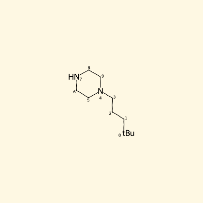 CC(C)(C)CCCN1CCNCC1